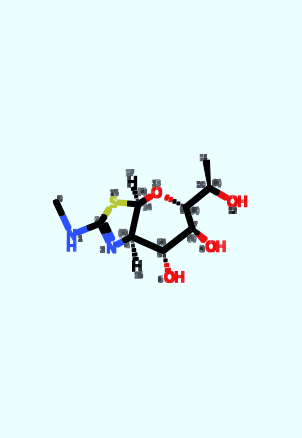 CNC1=N[C@@H]2[C@@H](O)[C@H](O)[C@@H]([C@@H](C)O)O[C@@H]2S1